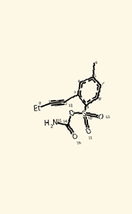 CCC#Cc1cc(C)ccc1S(=O)(=O)OC(N)=O